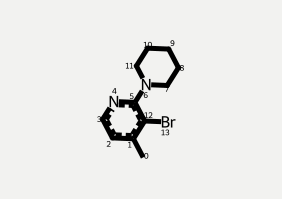 Cc1ccnc(N2CCCCC2)c1Br